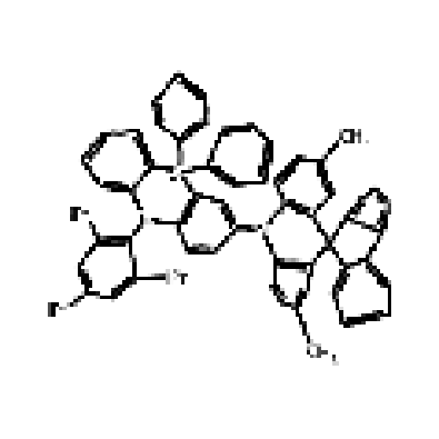 Cc1ccc2c(c1)C1(c3ccccc3-c3ccccc31)c1cc(C)ccc1N2c1ccc2c(c1)[Si](c1ccccc1)(c1ccccc1)c1ccccc1B2c1c(C(C)C)cc(C(C)C)cc1C(C)C